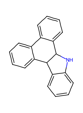 c1ccc2c(c1)NC1c3ccccc3-c3ccccc3C21